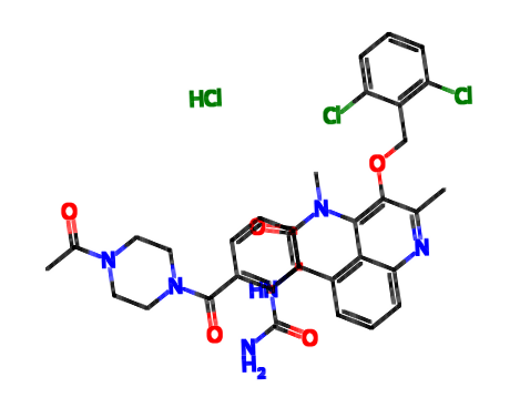 CC(=O)N1CCN(C(=O)c2cccc(-c3cccc4nc(C)c(OCc5c(Cl)cccc5Cl)c(N(C)C(=O)CNC(N)=O)c34)c2)CC1.Cl